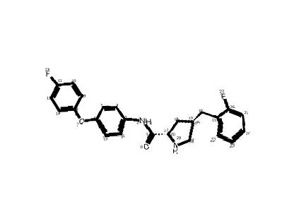 O=C(Nc1ccc(Oc2ccc(F)cc2)cc1)[C@@H]1C[C@@H](Cc2ccccc2F)CN1